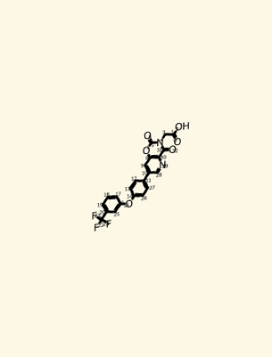 O=C(O)Cn1c(=O)oc2cc(-c3ccc(Oc4cccc(C(F)(F)F)c4)cc3)cnc2c1=O